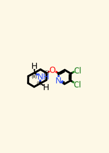 Clc1cnc(O[C@@H]2C[C@H]3CCC[C@@H](C2)N3)cc1Cl